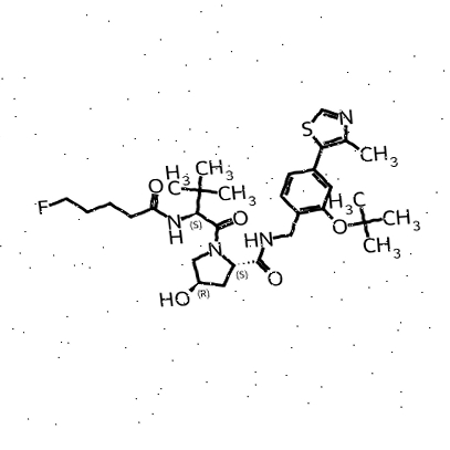 Cc1ncsc1-c1ccc(CNC(=O)[C@@H]2C[C@@H](O)CN2C(=O)[C@@H](NC(=O)CCCCF)C(C)(C)C)c(OC(C)(C)C)c1